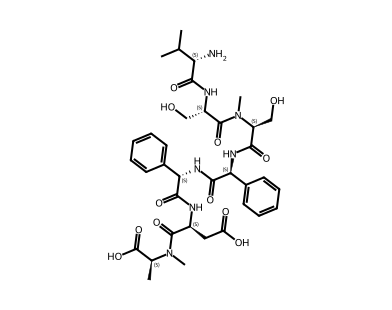 CC(C)[C@H](N)C(=O)N[C@@H](CO)C(=O)N(C)[C@@H](CO)C(=O)N[C@H](C(=O)N[C@H](C(=O)N[C@@H](CC(=O)O)C(=O)N(C)[C@@H](C)C(=O)O)c1ccccc1)c1ccccc1